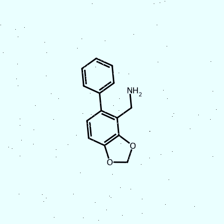 NCc1c(-c2ccccc2)ccc2c1OCO2